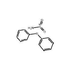 N[SH](=O)=O.c1ccc(Oc2ccccc2)cc1